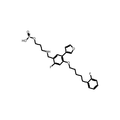 O=[PH](O)OCCCNCc1cc(-c2ccoc2)c(OCCCCCc2ccccc2F)cc1F